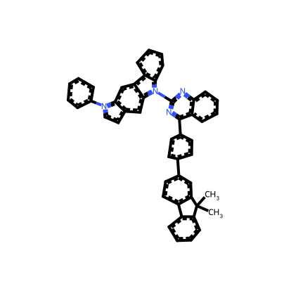 CC1(C)c2ccccc2-c2ccc(-c3ccc(-c4nc(-n5c6ccccc6c6cc7c(ccn7-c7ccccc7)cc65)nc5ccccc45)cc3)cc21